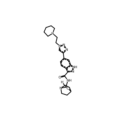 O=C(N[C@@H]1CC2CCN1CC2)c1n[nH]c2cc(-c3cn(CCN4CCCCC4)nn3)ccc12